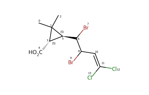 CC1(C)[C@@H](C(=O)O)[C@@H]1C(Br)C(Br)C=C(Cl)Cl